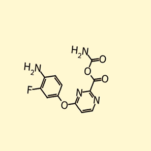 NC(=O)OC(=O)c1nccc(Oc2ccc(N)c(F)c2)n1